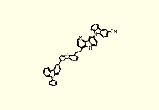 N#Cc1ccc2c(c1)c1ccccc1n2-c1ccc2oc3c(CCc4cccc5c4oc4ccc(-c6ccc7c(c6)c6ccccc6n7-c6ccccc6)cc45)ccnc3c2c1